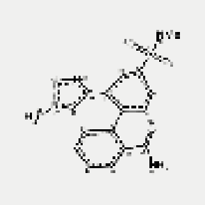 CNS(=O)(=O)c1ccc(-c2ccccc2C(N)=O)c(-c2cn(C)cn2)c1